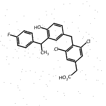 CC(c1ccc(F)cc1)c1cc(Cc2c(Cl)cc(CC(=O)O)cc2Cl)ccc1O